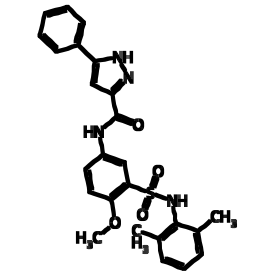 COc1ccc(NC(=O)c2cc(-c3ccccc3)[nH]n2)cc1S(=O)(=O)Nc1c(C)cccc1C